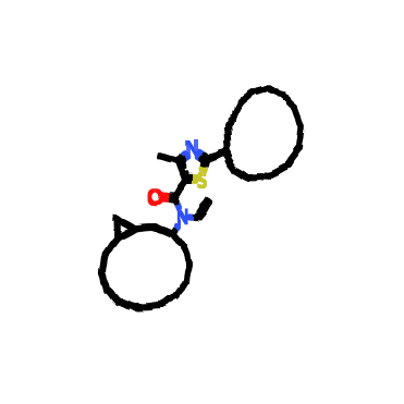 C=CN(C(=O)c1sc(C2CCCCCCCCCCCC2)nc1C)C1CCCCCCCCCCC2CC2C1